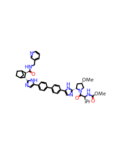 COC(=O)NC(C(=O)N1C[C@@H](OC)C[C@H]1c1ncc(-c2ccc(-c3ccc(-c4cnc([C@@H]5C6CCC(C6)[C@H]5C(=O)NCc5cccnc5)[nH]4)cc3)cc2)[nH]1)C(C)C